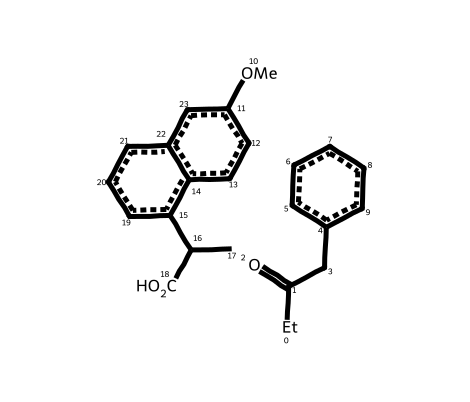 CCC(=O)Cc1ccccc1.COc1ccc2c(C(C)C(=O)O)cccc2c1